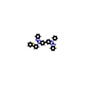 c1ccc(-n2c3ccc(-c4ccc5c(c4)n4c6ccccc6nc4n5-c4cccc5c4sc4ccccc45)cc3n3c4ccccc4nc23)cc1